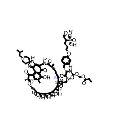 CCC(=O)OCOC(=O)N[C@@H](Cc1ccc(OCCCC(C=O)P(=O)(O)O)cc1)C(=O)N(C)CC(=O)O[C@@H]1[C@@H](C)[C@@H](O)[C@@H](C)[C@H](C)[C@H](C)[C@@H](C)/C=C/O[C@@]2(C)Oc3c(C)c(O)c4c(c3C2=O)C2=NC3(CCN(CC(C)C)CC3)NC2=C(NC(=O)/C(C)=C\C=C\[C@@H]1C)C4=O